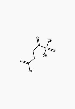 O=C(O)CCC(=O)P(=O)(O)O